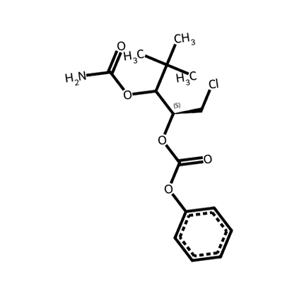 CC(C)(C)C(OC(N)=O)[C@@H](CCl)OC(=O)Oc1ccccc1